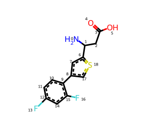 NC(CC(=O)O)c1cc(-c2ccc(F)cc2F)cs1